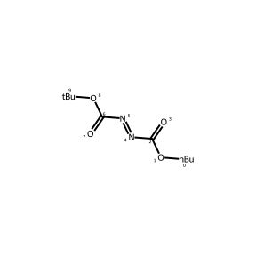 CCCCOC(=O)/N=N/C(=O)OC(C)(C)C